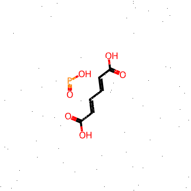 O=C(O)C=CC=CC(=O)O.O=PO